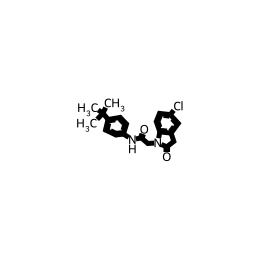 CC(C)(C)c1ccc(NC(=O)CN2C(=O)Cc3cc(Cl)ccc32)cc1